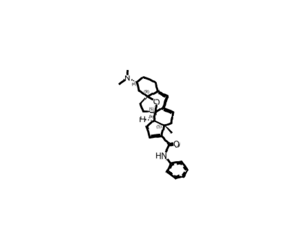 CN(C)[C@@H]1CCC2=CC3=CC[C@]4(C)C(C(=O)Nc5ccccc5)=CC[C@H]4[C@@]34CC[C@]2(C1)O4